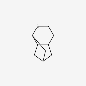 C1CC2CC3CC(S1)C2C3